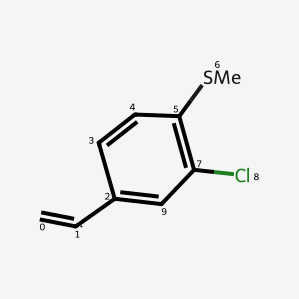 C=[C]c1ccc(SC)c(Cl)c1